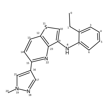 CCc1ccccc1Nc1csc2ccc(-c3cnn(C)c3)nc12